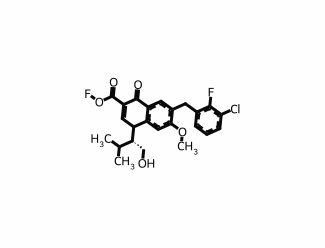 COc1cc2c(cc1Cc1cccc(Cl)c1F)C(=O)C(C(=O)OF)=CC2[C@H](CO)C(C)C